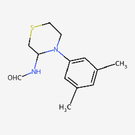 Cc1cc(C)cc(N2CCSCC2NC=O)c1